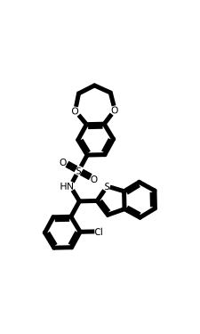 O=S(=O)(NC(c1cc2ccccc2s1)c1ccccc1Cl)c1ccc2c(c1)OCCCO2